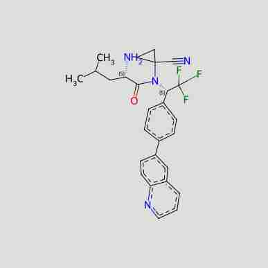 CC(C)C[C@H](N)C(=O)N([C@@H](c1ccc(-c2ccc3ncccc3c2)cc1)C(F)(F)F)C1(C#N)CC1